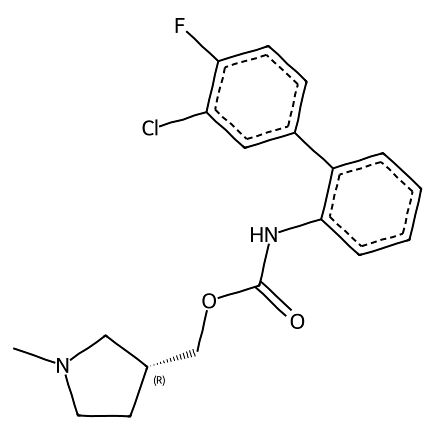 CN1CC[C@@H](COC(=O)Nc2ccccc2-c2ccc(F)c(Cl)c2)C1